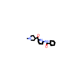 CN1CCC(C(=O)c2cccc(NC(=O)c3ccccc3)n2)CC1